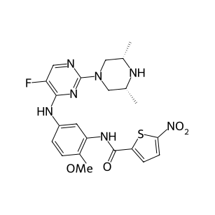 COc1ccc(Nc2nc(N3C[C@@H](C)N[C@@H](C)C3)ncc2F)cc1NC(=O)c1ccc([N+](=O)[O-])s1